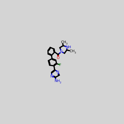 CC1CN(C(=O)c2ccccc2-c2ccc(-c3cnc(N)cn3)c(F)c2)CC(C)N1